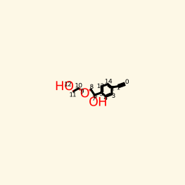 C#Cc1ccc(C(O)COCCO)cc1